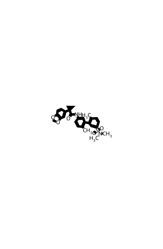 Cc1ccc(NC(=O)C2(c3ccc4c(c3)OCO4)CC2)cc1-c1cc(S(=O)(=O)N(C)C)ccc1C